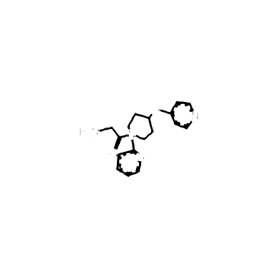 NCC(=O)[N+]1(c2ccccn2)CCC(Oc2ccncc2)CC1